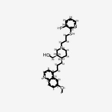 COc1ccc2nccc(CCC[C@@H]3CCN(CCCSc4ncccc4F)C[C@@H]3CO)c2c1